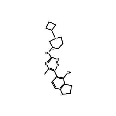 Cc1nc(N[C@@H]2CCCN(C3COC3)C2)nnc1-c1ccc2c(c1O)CCO2